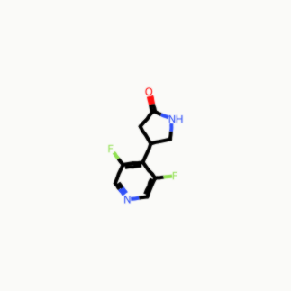 O=C1CC(c2c(F)cncc2F)CN1